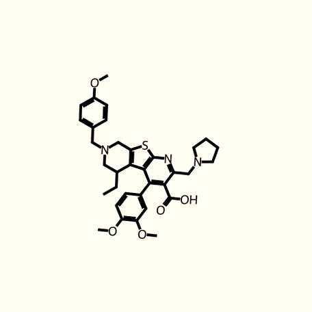 CCC1CN(Cc2ccc(OC)cc2)Cc2sc3nc(CN4CCCC4)c(C(=O)O)c(-c4ccc(OC)c(OC)c4)c3c21